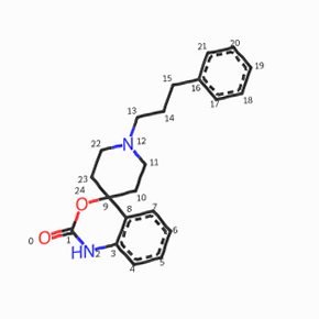 O=C1Nc2ccccc2C2(CCN(CCCc3ccccc3)CC2)O1